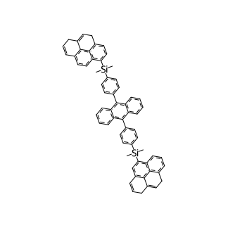 C[Si](C)(c1ccc(-c2c3ccccc3c(-c3ccc([Si](C)(C)c4cc5c6c7c(cccc47)CC=C6CC=C5)cc3)c3ccccc23)cc1)c1ccc2c3c4c(ccc13)C=CCC4=CC2